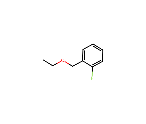 CCOCc1ccccc1F